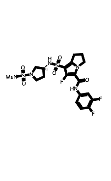 CNS(=O)(=O)N1CC[C@@H](NS(=O)(=O)c2c(F)c(C(=O)Nc3ccc(F)c(F)c3)n3c2CCC3)C1